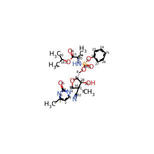 Cc1ccn([C@@H]2O[C@H](CO[P@@](=O)(N[C@H](C)C(=O)OC(C)C)Oc3ccccc3)[C@@H](O)[C@@]2(C)C#N)c(=O)n1